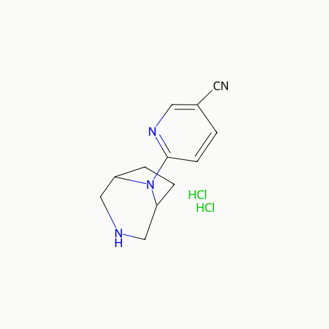 Cl.Cl.N#Cc1ccc(N2C3CCC2CNC3)nc1